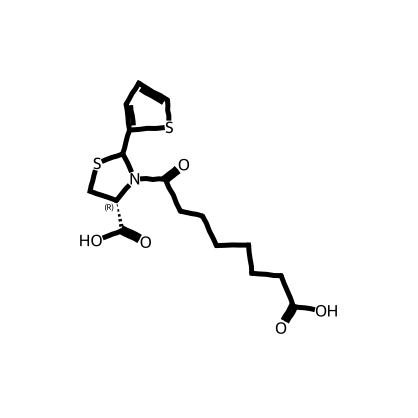 O=C(O)CCCCCCC(=O)N1C(c2cccs2)SC[C@H]1C(=O)O